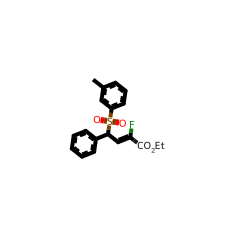 CCOC(=O)/C(F)=C/C(c1ccccc1)S(=O)(=O)c1cccc(C)c1